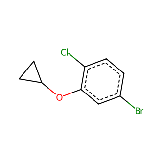 Clc1ccc(Br)cc1OC1CC1